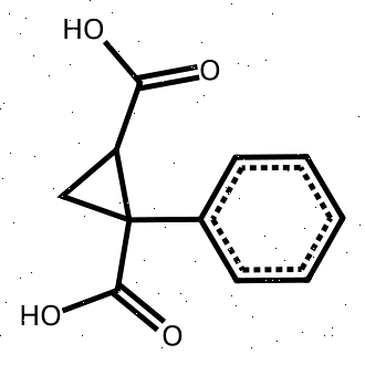 O=C(O)C1CC1(C(=O)O)c1ccccc1